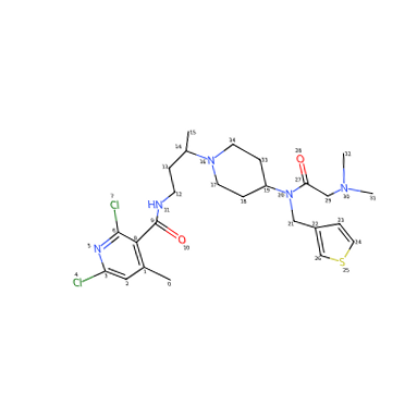 Cc1cc(Cl)nc(Cl)c1C(=O)NCCC(C)N1CCC(N(Cc2ccsc2)C(=O)CN(C)C)CC1